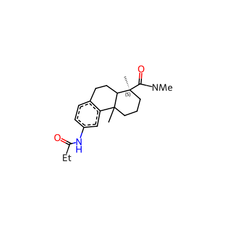 CCC(=O)Nc1ccc2c(c1)C1(C)CCC[C@](C)(C(=O)NC)C1CC2